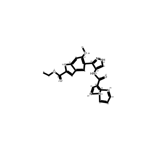 CCOC(=O)c1cc2cc(-c3n[nH]cc3NC(=O)c3cnn4cccnc34)c(OC)cc2s1